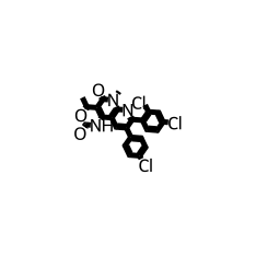 CC(=O)c1c(NC=O)c2cc(-c3ccc(Cl)cc3)c(-c3ccc(Cl)cc3Cl)nc2n(C)c1=O